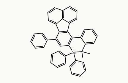 CC1(C)c2ccccc2-c2c(cc(-c3ccccc3)c3c2-c2cccc4cccc-3c24)[Si]1(c1ccccc1)c1ccccc1